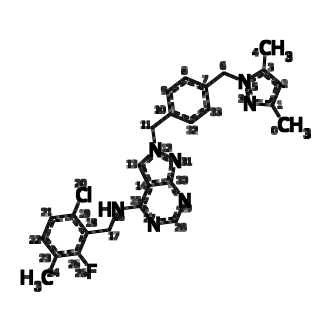 Cc1cc(C)n(Cc2ccc(Cn3cc4c(NCc5c(Cl)ccc(C)c5F)ncnc4n3)cc2)n1